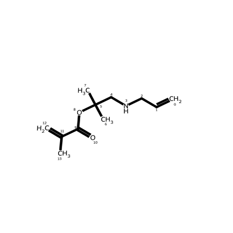 C=CCNCC(C)(C)OC(=O)C(=C)C